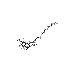 CCCC/C=C/CCCCCCCCCC1(O)CC(=O)c2c(O)c(C)c(O)c(C)c2O1